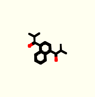 CC(C)C(=O)c1ccc(C(=O)C(C)C)c2ccccc12